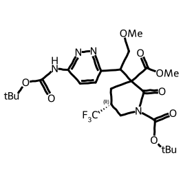 COCC(c1ccc(NC(=O)OC(C)(C)C)nn1)C1(C(=O)OC)C[C@@H](C(F)(F)F)CN(C(=O)OC(C)(C)C)C1=O